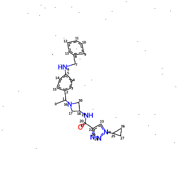 CC(c1ccc(NCc2ccccc2)cc1)N1CC(NC(=O)c2cn(C3CC3)nn2)C1